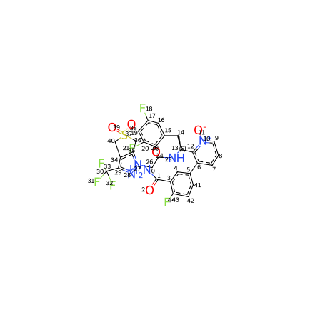 NC(=O)c1cc(-c2ccc[n+]([O-])c2[C@H](Cc2cc(F)cc(F)c2)NC(=O)Cn2nc(C(F)(F)F)c3c2CS(=O)(=O)C3)ccc1F